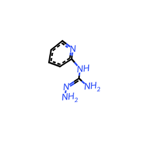 NN=C(N)Nc1ccccn1